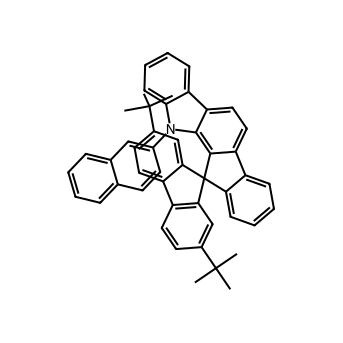 CC(C)(C)c1ccc2c(c1)C1(c3cc(C(C)(C)C)ccc3-2)c2ccccc2-c2ccc3c4ccccc4n(-c4ccc5ccccc5c4)c3c21